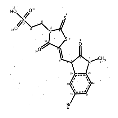 CN1C(=O)C(/C=C2\SC(=S)N(CCS(=O)(=O)O)C2=O)c2cc(Br)ccc21